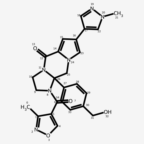 Cc1nocc1C(=O)N1CCN2C(=O)c3cc(-c4cnn(C)c4)cn3CC12c1ccc(CO)cc1